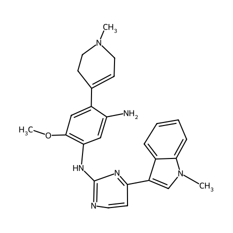 COc1cc(C2=CCN(C)CC2)c(N)cc1Nc1nccc(-c2cn(C)c3ccccc23)n1